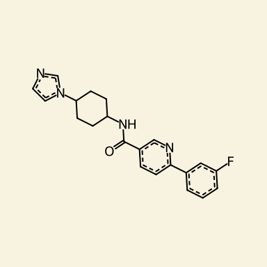 O=C(NC1CCC(n2ccnc2)CC1)c1ccc(-c2cccc(F)c2)nc1